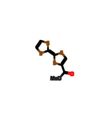 COC(=O)C1=CSC(=C2SC=CS2)S1